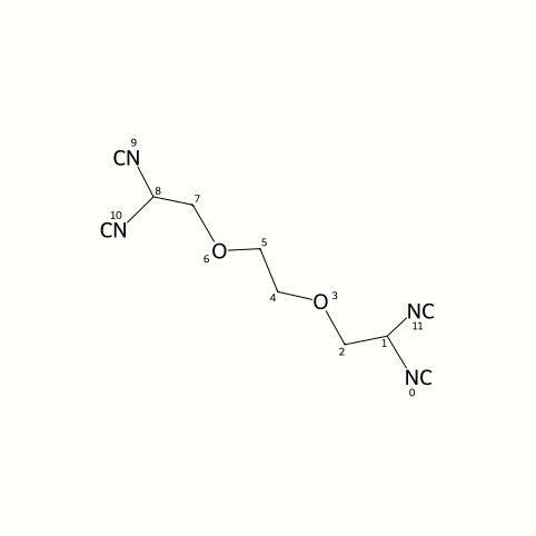 [C-]#[N+]C(COCCOCC([N+]#[C-])[N+]#[C-])[N+]#[C-]